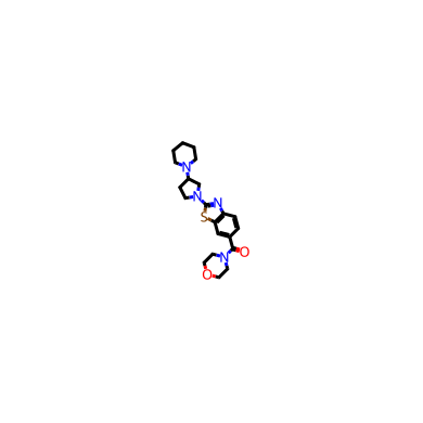 O=C(c1ccc2nc(N3CCC(N4CCCCC4)C3)sc2c1)N1CCOCC1